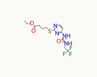 CCOC(=O)CCCSc1nccc(N[S+]([O-])NCC(F)(F)F)n1